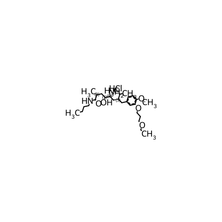 CCCCNC(=O)[C@H](C)C[C@H](O)[C@@H](N)C[C@H](Cc1ccc(OC)c(OCCCOCC)c1)C(C)C.Cl